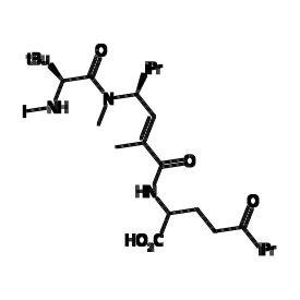 C/C(=C\[C@H](C(C)C)N(C)C(=O)[C@@H](NI)C(C)(C)C)C(=O)NC(CCC(=O)C(C)C)C(=O)O